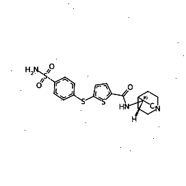 NS(=O)(=O)c1ccc(Sc2ccc(C(=O)N[C@H]3CN4CCC3CC4)s2)cc1